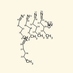 CCCCC#N.CCCCC#N.CCCCC#N.CCCCC#N.CCCCC#N.[C]=O.[W]